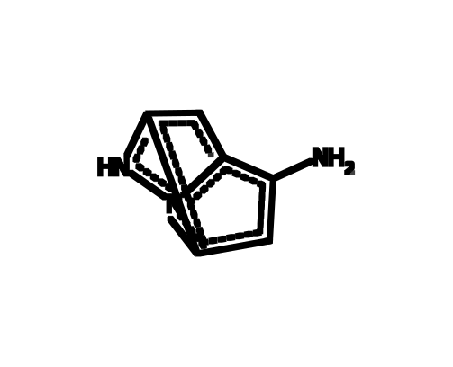 Nc1cc2c3cc1n2[nH]3